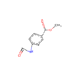 COC(=O)c1ccc(N[C]=O)cc1